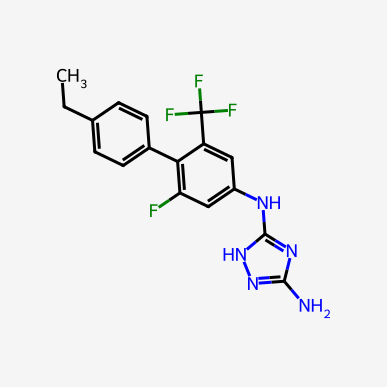 CCc1ccc(-c2c(F)cc(Nc3nc(N)n[nH]3)cc2C(F)(F)F)cc1